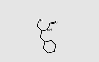 O=CNC(CO)CC1CCCCC1